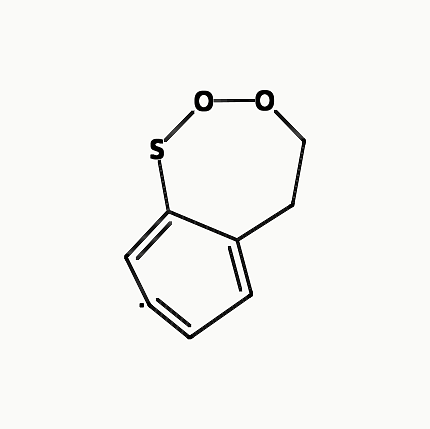 [c]1ccc2c(c1)SOOCC2